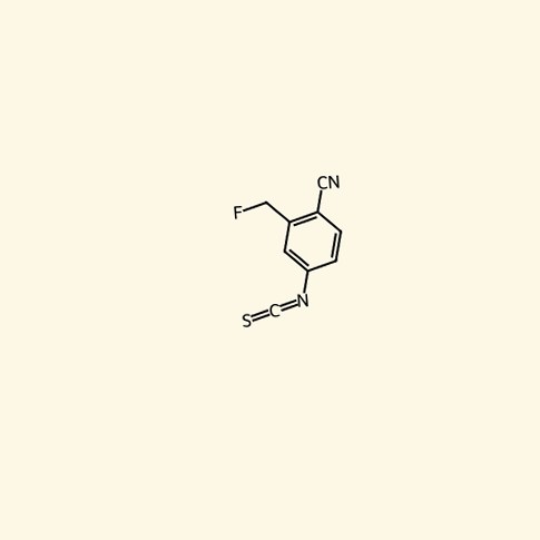 N#Cc1ccc(N=C=S)cc1CF